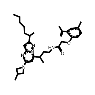 C=C(C)c1cc(C)ccc1OCC(=O)NCCC(C)c1cc(N2CC(C)C2)nc2cc(C(C)CCCCC)nn12